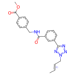 C/C=C/Cn1nnc(-c2cccc(C(=O)NCc3ccc(C(=O)OC)cc3)c2)n1